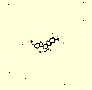 CCS(=O)(=O)c1cc2cc(C(C)=O)ccc2nc1-c1nc2cc(SC(F)(F)F)ccc2o1